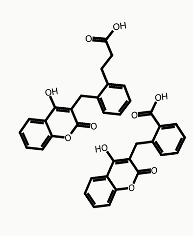 O=C(O)CCc1ccccc1Cc1c(O)c2ccccc2oc1=O.O=C(O)c1ccccc1Cc1c(O)c2ccccc2oc1=O